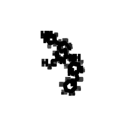 Cc1cn2c(-c3cn[nH]c3)cnc2c(Nc2cnc(CN3CCCCC3)nc2)n1